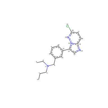 CCCN(CC)Cc1cccc(-c2cnc3ccc(Cl)nn23)c1